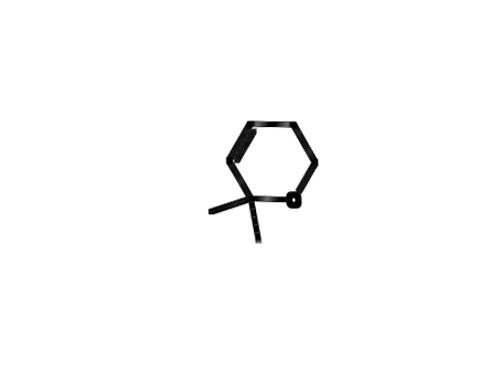 CC1(C)C=CCCO1